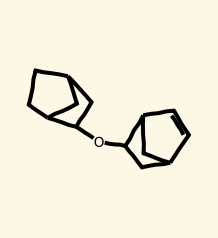 C1=CC2CC1CC2OC1CC2CCC1C2